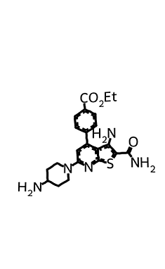 CCOC(=O)c1ccc(-c2cc(N3CCC(N)CC3)nc3sc(C(N)=O)c(N)c23)cc1